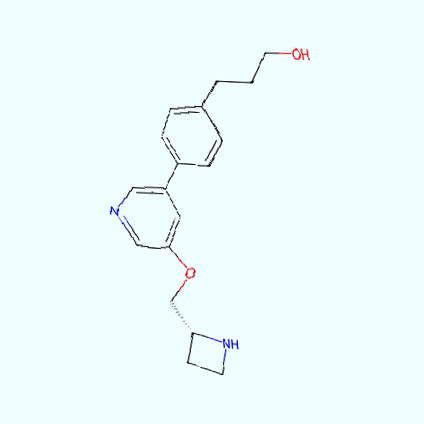 OCCCc1ccc(-c2cncc(OC[C@H]3CCN3)c2)cc1